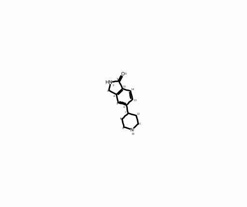 O=C1NCc2cc(C3CC[N]CC3)ccc21